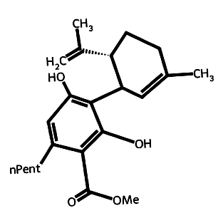 C=C(C)[C@@H]1CCC(C)=CC1c1c(O)cc(CCCCC)c(C(=O)OC)c1O